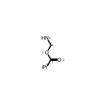 CC(C)C(=O)OC[NH]